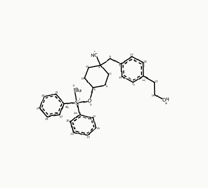 CC(C)(C)[Si](OC1CCC(C#N)(Cc2ccc(CCO)cc2)CC1)(c1ccccc1)c1ccccc1